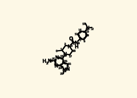 CC1CN(C(=O)Nc2ccc(N(C)C)cc2)CCN1c1nc(N)nc2c1cnn2C